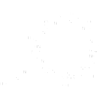 C/C=C/C[C@@H](C)[C@@H](O)[C@H]1C(=O)N[C@@H](CC)C(=O)N(C)[C@H](CSCCN2CCN(CCO)CC2)C(=O)N(C)[C@@H](CC(C)(C)O)C(=O)N[C@H](C(C)C)C(=O)N(C)[C@H](CCC(C)C)C(=O)N[C@H](C)C(=O)N[C@@H](C)C(=O)N(C)[C@@H](CC(C)C)C(=O)N(C)[C@@H](CC(C)C)C(=O)N(C)[C@@H](C(C)C)C(=O)N1C